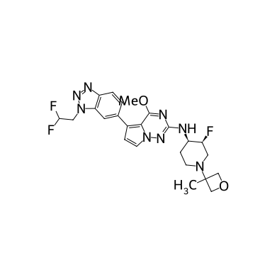 COc1nc(N[C@@H]2CCN(C3(C)COC3)C[C@@H]2F)nn2ccc(-c3ccc4nnn(CC(F)F)c4c3)c12